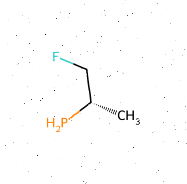 C[C@H](P)CF